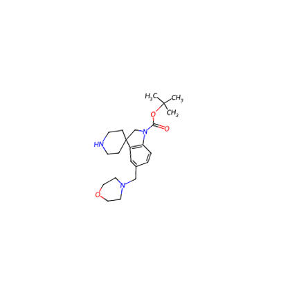 CC(C)(C)OC(=O)N1CC2(CCNCC2)c2cc(CN3CCOCC3)ccc21